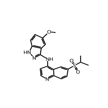 COc1ccc2[nH]nc(Nc3ccnc4ccc(S(=O)(=O)C(C)C)cc34)c2c1